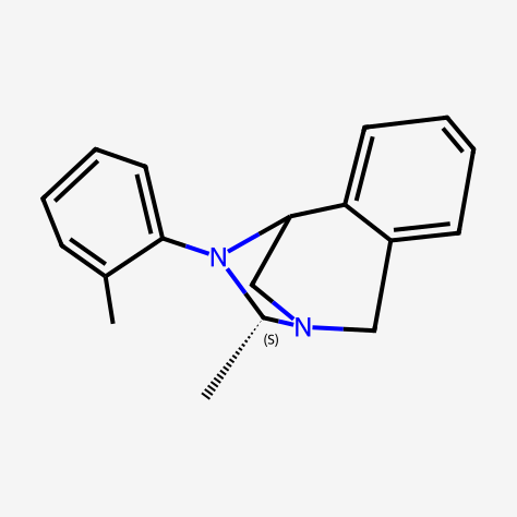 Cc1ccccc1N1C2CN(Cc3ccccc32)[C@@H]1C